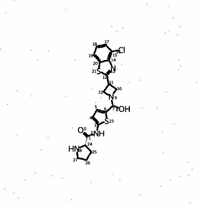 O=C(Nc1ccc(C(O)N2CC(c3nc4c(Cl)cccc4s3)C2)s1)[C@@H]1CCCN1